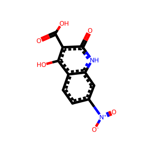 O=C(O)c1c(O)c2ccc([N+](=O)[O-])cc2[nH]c1=O